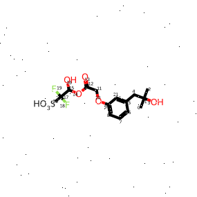 CC(C)(O)Cc1cccc(OCC(=O)OC(O)C(F)(F)S(=O)(=O)O)c1